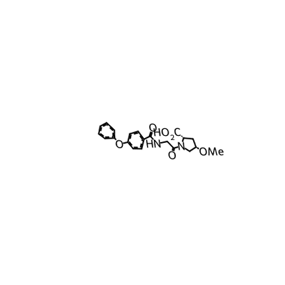 CO[C@@H]1C[C@@H](C(=O)O)N(C(=O)CNC(=O)c2ccc(Oc3ccccc3)cc2)C1